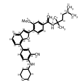 COc1cc(C(=O)NC(C)(C)CCN(C)C)ccc1-c1cc2nccc(-c3ccc(NC4CCOCC4)c(C#N)c3)c2o1